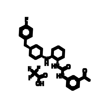 CC(=O)c1cccc(NC(=O)N[C@H]2CCCC[C@@H]2N[C@H]2CC[C@H](Cc3ccc(F)cc3)CC2)c1.O=C(O)C(F)(F)F